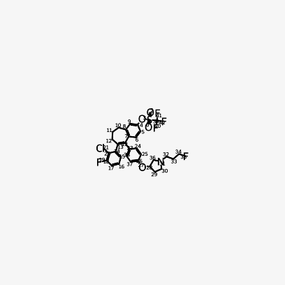 O=S(=O)(Oc1ccc2c(c1)CCCC(c1cccc(F)c1Cl)=C2c1ccc(O[C@H]2CCN(CCCF)C2)cc1)C(F)(F)F